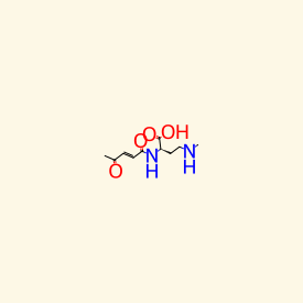 CNCC[C@@H](NC(=O)/C=C/C(C)=O)C(=O)O